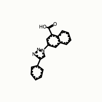 O=C(O)c1cc(-n2cc(-c3ccccc3)nn2)cc2ccccc12